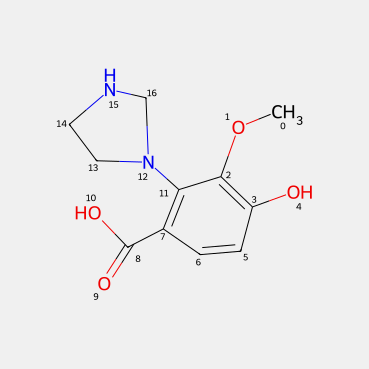 COc1c(O)ccc(C(=O)O)c1N1CCNC1